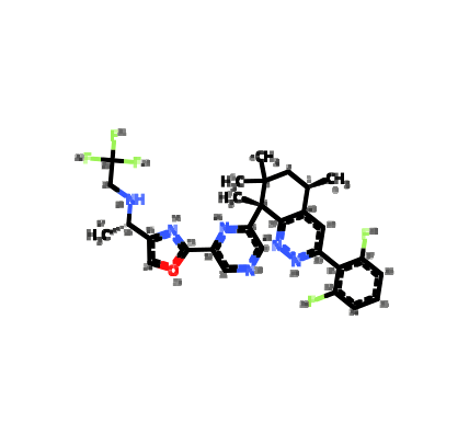 C[C@@H]1CC(C)(C)[C@@](C)(c2cncc(-c3nc([C@H](C)NCC(F)(F)F)co3)n2)c2nnc(-c3c(F)cccc3F)cc21